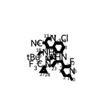 Cc1ccc(C(Nc2cc(Cl)c3ncc(C#N)c(NCC(C)(C)C)c3c2)c2cn(C3(C(F)(F)F)CC3)nn2)c(F)n1